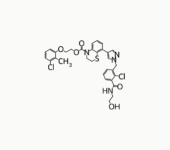 Cc1c(Cl)cccc1OCCOC(=O)N1CCSc2c(-c3cnn(Cc4cccc(C(=O)NCCO)c4Cl)c3)cccc21